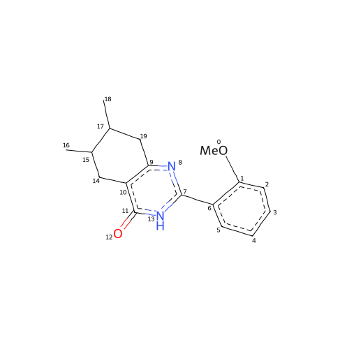 COc1ccccc1-c1nc2c(c(=O)[nH]1)CC(C)C(C)C2